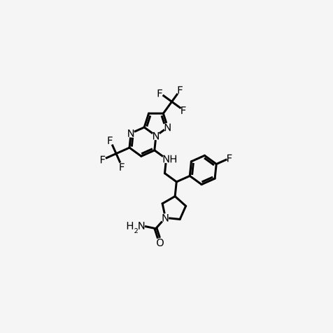 NC(=O)N1CCC(C(CNc2cc(C(F)(F)F)nc3cc(C(F)(F)F)nn23)c2ccc(F)cc2)C1